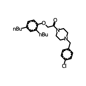 CCCCc1ccc(OCC(=O)N2CCN(Cc3ccc(Cl)cc3)CC2)c(CCCC)c1